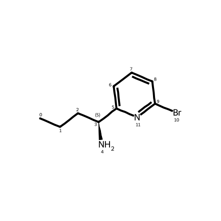 CCC[C@H](N)c1cccc(Br)n1